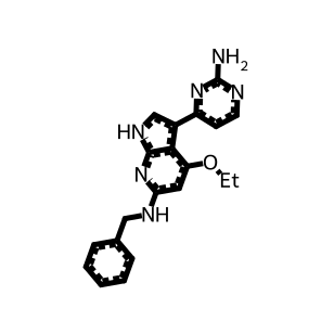 CCOc1cc(NCc2ccccc2)nc2[nH]cc(-c3ccnc(N)n3)c12